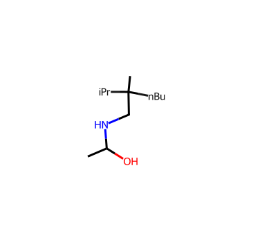 CCCCC(C)(CNC(C)O)C(C)C